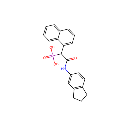 O=C(Nc1ccc2c(c1)CCC2)C(c1cccc2ccccc12)P(=O)(O)O